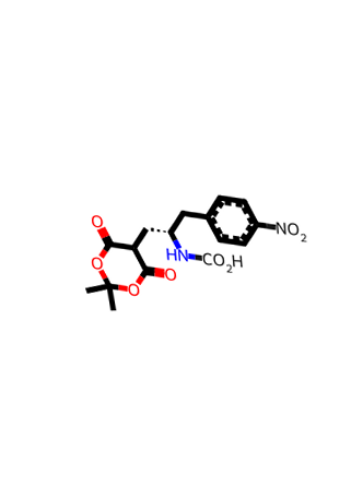 CC1(C)OC(=O)C(C[C@H](Cc2ccc([N+](=O)[O-])cc2)NC(=O)O)C(=O)O1